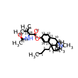 CCCC[C@@]12CCN(C)[C@@H](Cc3ccc(OC(=O)C(NC(C)=O)C(C)C)cc31)[C@H]2C